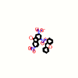 O=C1c2cc([N+](=O)[O-])ccc2-c2c1cc([N+](=O)[O-])cc2[N+](=O)[O-].c1ccc2c(c1)Cc1ccccc1O2